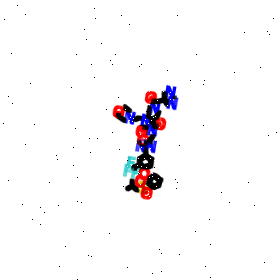 CC(C)CS(=O)(=O)c1ccccc1Oc1ccc(-c2noc(CN3C(=O)N(CCN4CCOCC4)C4(CCN(C(=O)c5cncnc5)CC4)C3=O)n2)cc1C(F)(F)F